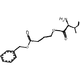 CC(C)[C@H](N)C(=O)OCCCC(=O)OCc1ccccc1